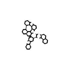 c1ccc2c(c1)ccc1nc(-n3c4ccc5cccc6c5c4c4c5c(ccc43)oc3cccc-6c35)c(-c3ccc4sc5ccccc5c4c3)nc12